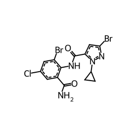 NC(=O)c1cc(Cl)cc(Br)c1NC(=O)c1cc(Br)nn1C1CC1